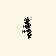 [C-]#[N+]C(CC)C(=O)c1ccc(C(=O)N/N=C(\C)c2csc(-c3ccc(Br)cc3)c2O)s1